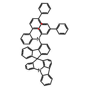 c1ccc(-c2ccc(-c3ccccc3N(c3cccc(-c4ccccc4)c3)c3cccc4c3-c3ccccc3C43c4ccccc4-n4c5ccccc5c5cccc3c54)cc2)cc1